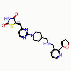 O=C1NC(=O)/C(=C/c2ccnc(N3CCC(CNCc4cccnc4C4=CCCO4)CC3)n2)S1